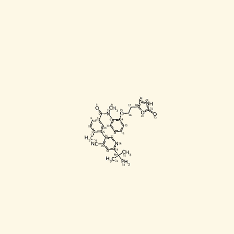 Cc1ccc(C(=O)N(C)c2ccccc2OCCc2n[nH]c(=O)o2)cc1-c1cnc(C(C)(C)P)cc1C#N